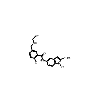 CCn1c([C]=O)cc2cc(NC(=O)c3cc(CNCC(C)C)ccc3Cl)ccc21